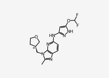 Cc1nc2ccc(Nc3cc(OC(F)F)[nH]n3)nc2n1C[C@H]1CCOC1